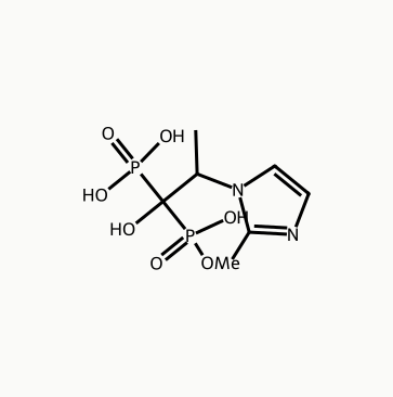 COP(=O)(O)C(O)(C(C)n1ccnc1C)P(=O)(O)O